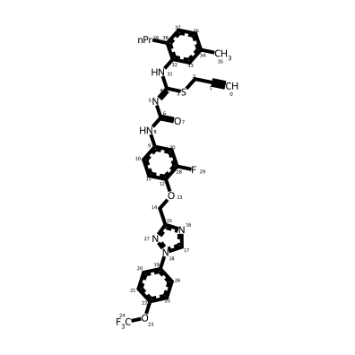 C#CCS/C(=N\C(=O)Nc1ccc(OCc2ncn(-c3ccc(OC(F)(F)F)cc3)n2)c(F)c1)Nc1cc(C)ccc1CCC